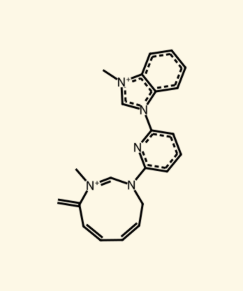 C=C1/C=C\C=C/CN(c2cccc(-n3c[n+](C)c4ccccc43)n2)/C=[N+]\1C